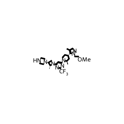 COCCn1ncc(C)c1[C@H]1CCN(c2cc(N3C[C@@H](N4CCNCC4)[C@H]3C)nc(C(F)(F)F)n2)[C@H](C)C1